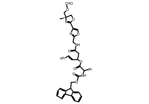 CCC/C=C/C(CC(=O)NCc1nc(C2=N[C@](C)(COC=O)CO2)co1)OC(=O)C(NC(=O)OCC1c2ccccc2-c2ccccc21)C(C)C